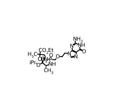 CCOC(=O)C(C)(C)CNP(=O)(COCCn1cnc2c(=O)[nH]c(N)nc21)N[C@@H](C)C(=O)OC(C)C